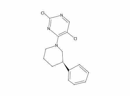 Clc1ncc(Cl)c(N2CCC[C@H](c3ccccc3)C2)n1